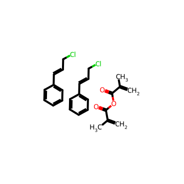 C=C(C)C(=O)OC(=O)C(=C)C.ClCC=Cc1ccccc1.ClCC=Cc1ccccc1